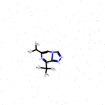 CC(C)c1cn2cnnc2c(C(C)(C)C)n1